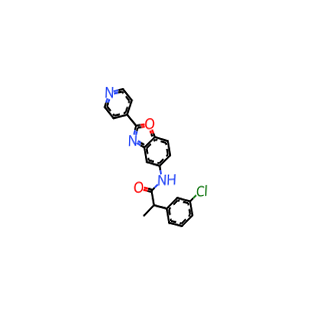 CC(C(=O)Nc1ccc2oc(-c3ccncc3)nc2c1)c1cccc(Cl)c1